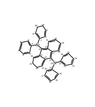 C1=CC(N(c2ccccc2)c2c3c(c(N(c4ccccc4)c4ccccc4)c4ccccc24)=CCCC=3)=CCC1